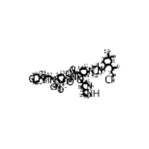 C=C(CCCl)C1=C(CN2CCN(c3ccc(C(=O)NS(=O)(=O)c4ccc(NCC5CC6(CCOCC6)C5)c([N+](=O)[O-])c4)c(Oc4cnc5[nH]ccc5c4)c3)CC2)CCC(C)(C)C1